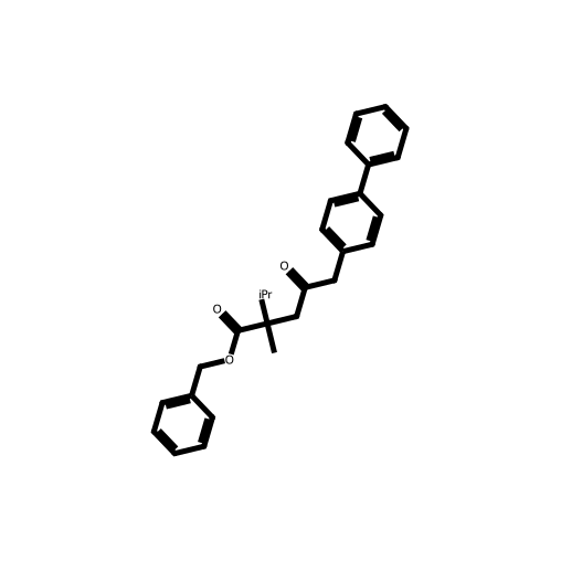 CC(C)C(C)(CC(=O)Cc1ccc(-c2ccccc2)cc1)C(=O)OCc1ccccc1